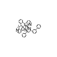 CC1(C)c2ncccc2Oc2c1c1ccccc1c1c3cccnc3n(-c3nc(-c4ccccc4)cc(-c4cccc(-c5ccccc5)c4)n3)c21